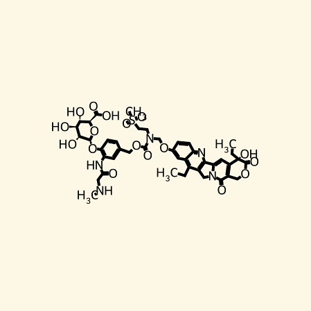 CCc1c2c(nc3ccc(OCN(CCS(C)(=O)=O)C(=O)OCc4ccc(O[C@@H]5O[C@H](C(=O)O)[C@@H](O)[C@H](O)[C@H]5O)c(NC(=O)CNC)c4)cc13)-c1cc3c(c(=O)n1C2)COC(=O)[C@]3(O)CC